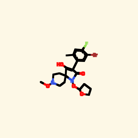 CON1CCC2(CC1)C(O)=C(c1cc(Br)c(F)cc1C)C(=O)N2OC1CCCO1